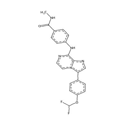 CNC(=O)c1ccc(Nc2nccn3c(-c4ccc(OC(F)F)cc4)cnc23)cc1